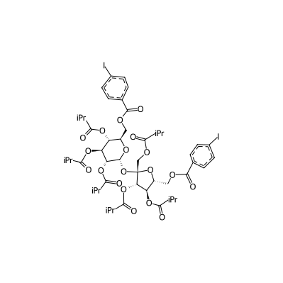 CC(C)C(=O)OC[C@@]1(O[C@H]2O[C@H](COC(=O)c3ccc(I)cc3)[C@@H](OC(=O)C(C)C)[C@H](OC(=O)C(C)C)[C@H]2OC(=O)C(C)C)O[C@H](COC(=O)c2ccc(I)cc2)[C@@H](OC(=O)C(C)C)[C@@H]1OC(=O)C(C)C